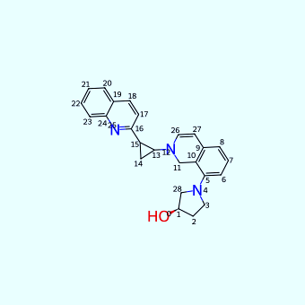 O[C@@H]1CCN(c2cccc3c2CN(C2CC2c2ccc4ccccc4n2)C=C3)C1